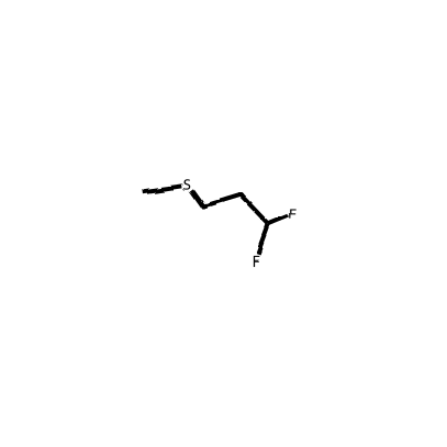 CSCCC(F)F